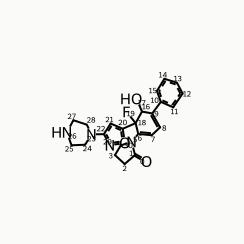 O=C1CCCN1C1=CC=C(c2ccccc2)C(O)C1(F)c1cc(N2CCNCC2)no1